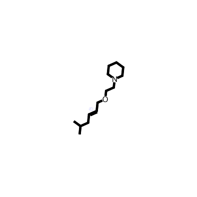 CC(C)C/C=C/COCCN1CCCCC1